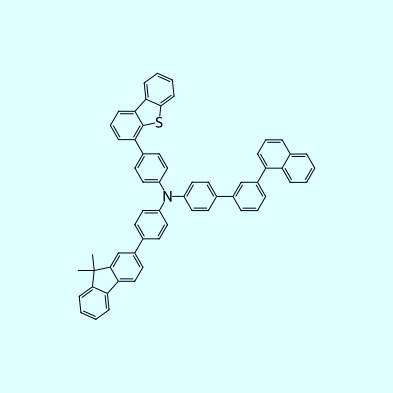 CC1(C)c2ccccc2-c2ccc(-c3ccc(N(c4ccc(-c5cccc(-c6cccc7ccccc67)c5)cc4)c4ccc(-c5cccc6c5sc5ccccc56)cc4)cc3)cc21